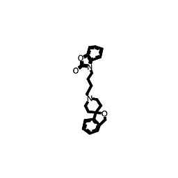 O=c1oc2ccccc2n1CCCCN1CCC2(CC1)OCc1ccccc12